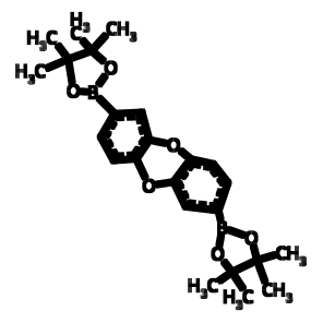 CC1(C)OB(c2ccc3c(c2)Oc2ccc(B4OC(C)(C)C(C)(C)O4)cc2O3)OC1(C)C